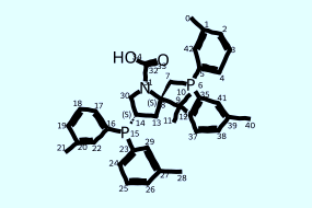 Cc1cccc(P(C[C@@]2(C(C)(C)C)C[C@H](P(c3cccc(C)c3)c3cccc(C)c3)CN2C(=O)O)c2cccc(C)c2)c1